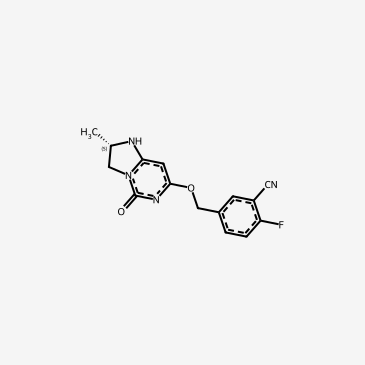 C[C@H]1Cn2c(cc(OCc3ccc(F)c(C#N)c3)nc2=O)N1